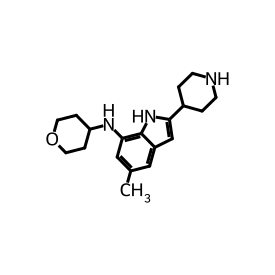 Cc1cc(NC2CCOCC2)c2[nH]c(C3CCNCC3)cc2c1